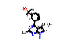 CCc1nc(-c2cccc(C(C)(C)O)c2)c2c(C(=O)O)c[nH]c2n1